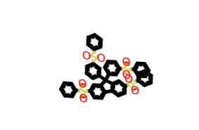 O=S(=O)(c1ccccc1)c1cccc(C2(c3cccc(S(=O)(=O)c4ccccc4)c3)c3cc(S(=O)(=O)c4ccccc4)ccc3-c3ccc(S(=O)(=O)c4ccccc4)cc32)c1